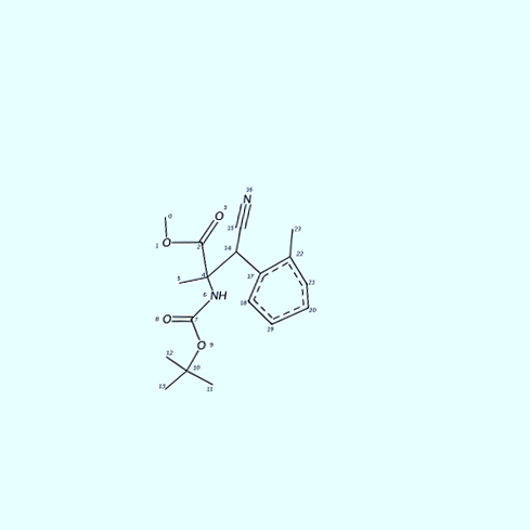 COC(=O)C(C)(NC(=O)OC(C)(C)C)C(C#N)c1ccccc1C